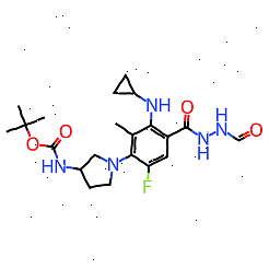 Cc1c(NC2CC2)c(C(=O)NNC=O)cc(F)c1N1CCC(NC(=O)OC(C)(C)C)C1